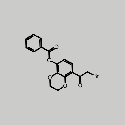 O=C(Oc1ccc(C(=O)CBr)c2c1OCCO2)c1ccccc1